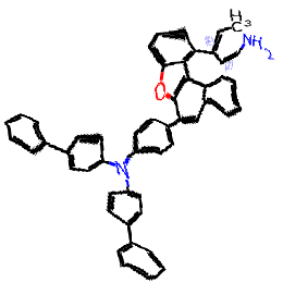 C/C=C(\C=C/N)c1cccc2oc3c(-c4ccc(N(c5ccc(-c6ccccc6)cc5)c5ccc(-c6ccccc6)cc5)cc4)cc4ccccc4c3c12